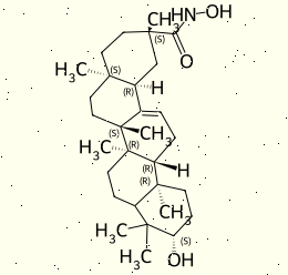 CC1(C)C2CC[C@]3(C)[C@H](CC=C4[C@@H]5C[C@@](C)(C(=O)NO)CC[C@]5(C)CC[C@]43C)[C@@]2(C)CC[C@@H]1O